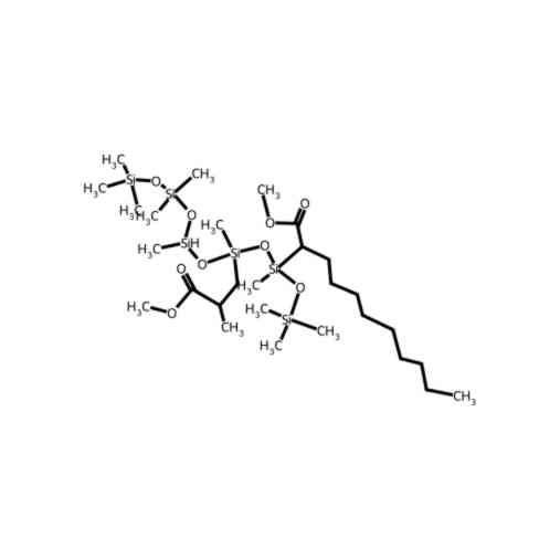 CCCCCCCCCC(C(=O)OC)[Si](C)(O[Si](C)(C)C)O[Si](C)(CC(C)C(=O)OC)O[SiH](C)O[Si](C)(C)O[Si](C)(C)C